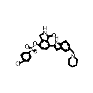 O=C1NCc2c(OS(=O)(=O)c3ccc(Cl)cc3)ccc(-c3cc4cc(CN5CCCCC5)ccc4[nH]3)c21